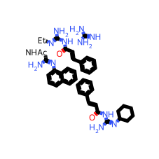 CC(=O)NC(N)=Nc1cccc2ccccc12.CCN=C(N)NC(=O)C=Cc1ccccc1.N=C(N)N.NC(=NC1CCCCC1)NC(=O)C=Cc1ccccc1